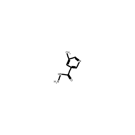 Cc1cncc(C(=O)NN)c1